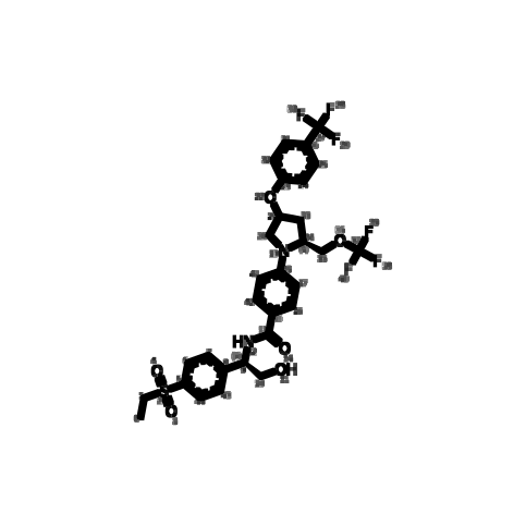 CCS(=O)(=O)c1ccc([C@H](CO)NC(=O)c2ccc(N3CC(Oc4ccc(C(F)(F)F)cc4)C[C@H]3COC(F)(F)F)cc2)cc1